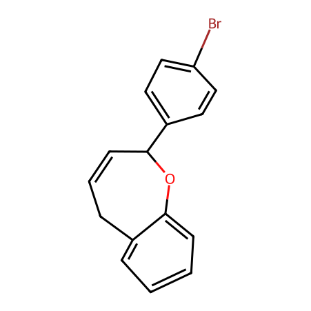 Brc1ccc(C2C=CCc3ccccc3O2)cc1